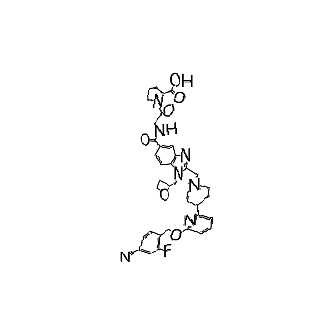 N#Cc1ccc(COc2cccc(C3CCN(Cc4nc5cc(C(=O)NCC(=O)N6CCC[C@H]6C(=O)O)ccc5n4C[C@@H]4CCO4)CC3)n2)c(F)c1